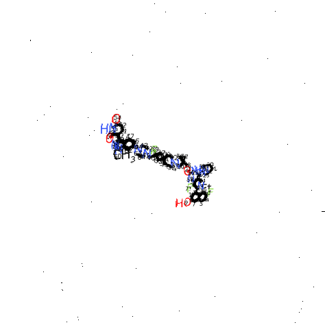 CCc1c(F)ccc2cc(O)cc(-c3ncc4c(N5CC6CCC(C5)N6)nc(OCC5(CN6CCC7(CC6)CC(F)(CN6CCN(c8ccc9c(C%10CCC(=O)NC%10=O)nn(C)c9c8)CC6)C7)CC5)nc4c3F)c12